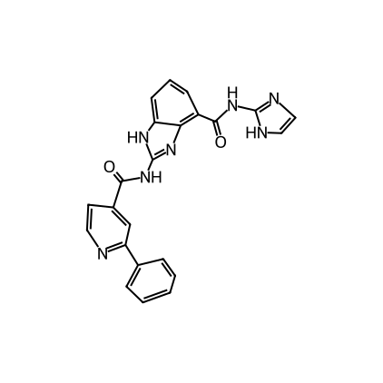 O=C(Nc1nc2c(C(=O)Nc3ncc[nH]3)cccc2[nH]1)c1ccnc(-c2ccccc2)c1